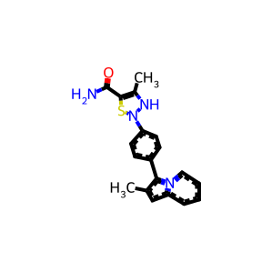 CC1=C(C(N)=O)SN(c2ccc(-c3c(C)cc4ccccn34)cc2)N1